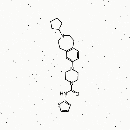 O=C(Nc1cccs1)N1CCN(c2ccc3c(c2)CCN(C2CCCC2)CC3)CC1